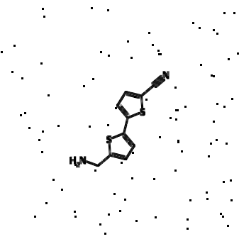 N#Cc1ccc(-c2ccc(CN)s2)s1